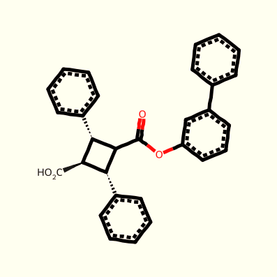 O=C(Oc1cccc(-c2ccccc2)c1)C1[C@@H](c2ccccc2)[C@H](C(=O)O)[C@H]1c1ccccc1